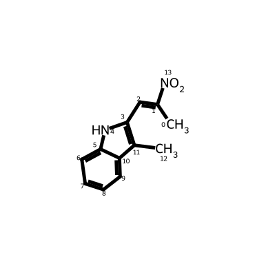 CC(=Cc1[nH]c2ccccc2c1C)[N+](=O)[O-]